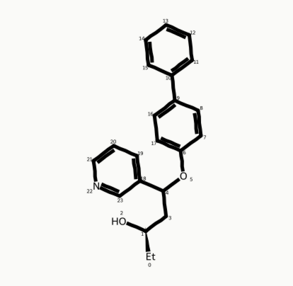 CC[C@@H](O)CC(Oc1ccc(-c2ccccc2)cc1)c1cccnc1